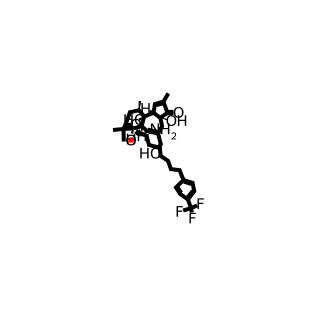 CC1=C[C@H]2[C@@]3(O)[C@H](C)C[C@]4(OC(=O)[C@H](N)CCCCCCc5ccc(C(F)(F)F)cc5)[C@H]([C@@H]3C=C(CO)C[C@]2(O)C1=O)C4(C)C